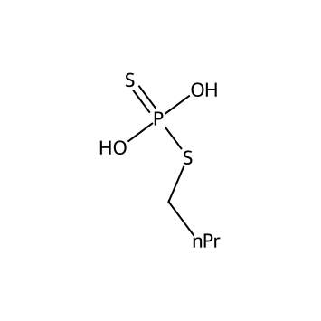 CCCCSP(O)(O)=S